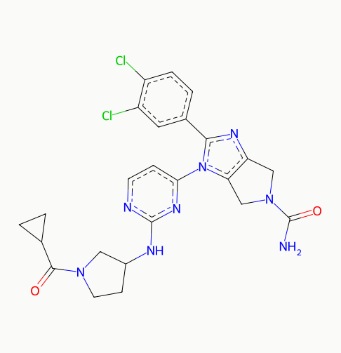 NC(=O)N1Cc2nc(-c3ccc(Cl)c(Cl)c3)n(-c3ccnc(NC4CCN(C(=O)C5CC5)C4)n3)c2C1